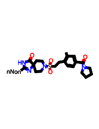 CCCCCCCCCC1=NC2(CCN(S(=O)(=O)CCc3ccc(C(=O)N4CCCC4)cc3C)CC2)C(=O)N1